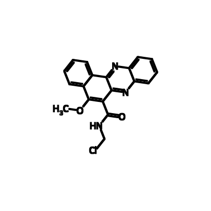 COc1c(C(=O)NCCl)c2nc3ccccc3nc2c2ccccc12